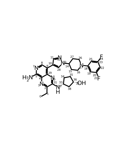 CCc1nc2c(N)ncc(-c3cnn(C4CCN(c5cc(F)cc(F)c5)CC4)c3)c2nc1N[C@@H]1CC[C@H](O)C1